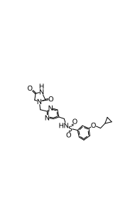 O=C1CN(Cc2ncc(CNS(=O)(=O)c3cccc(OCC4CC4)c3)cn2)C(=O)N1